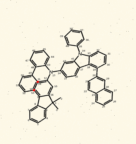 CC1(C)c2ccccc2-c2ccc(N(c3ccc4c5c(-c6ccc7ccccc7c6)cccc5n(-c5ccccc5)c4c3)c3ccccc3-c3ccccc3)cc21